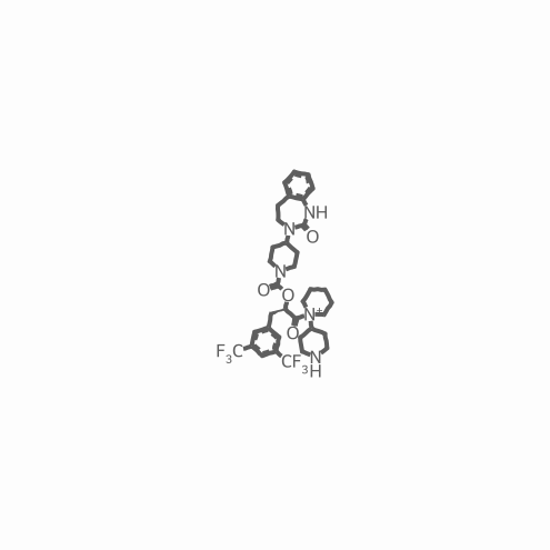 O=C(O[C@H](Cc1cc(C(F)(F)F)cc(C(F)(F)F)c1)C(=O)[N+]1(C2CCNCC2)CCCCC1)N1CCC(N2CCc3ccccc3NC2=O)CC1